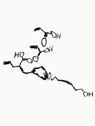 C=CC(=O)O.C=CC(=O)O.C=CCC(=Cc1ccccc1)C(=O)O.OCCCCCCO